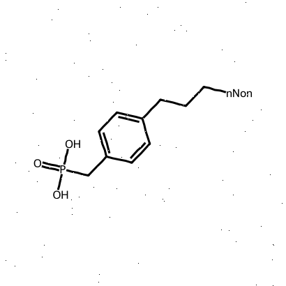 CCCCCCCCCCCCc1ccc(CP(=O)(O)O)cc1